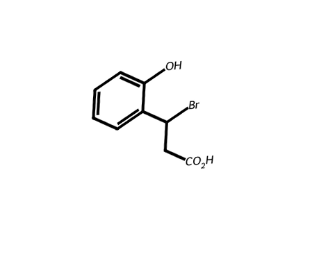 O=C(O)CC(Br)c1ccccc1O